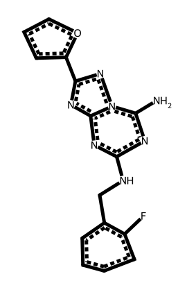 Nc1nc(NCc2ccccc2F)nc2nc(-c3ccco3)nn12